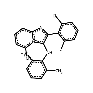 Cc1cccc(C)c1Nc1c(-c2c(F)cccc2Cl)nc2cccc(C)n12